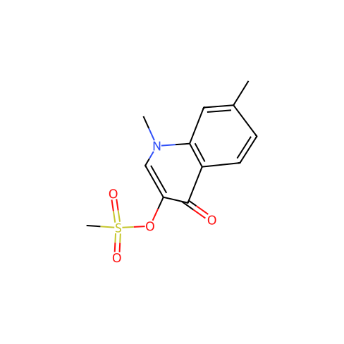 Cc1ccc2c(=O)c(OS(C)(=O)=O)cn(C)c2c1